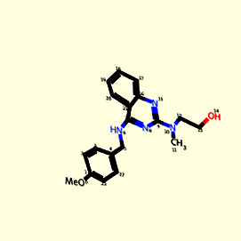 COc1ccc(CNc2nc(N(C)CCO)nc3ccccc23)cc1